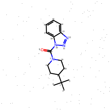 CC(C)(C)C1CCN(C(=O)n2nnc3ccccc32)CC1